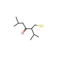 CC(C)CC(=O)C(CS)C(C)C